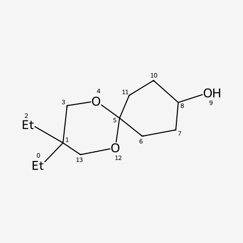 CCC1(CC)COC2(CCC(O)CC2)OC1